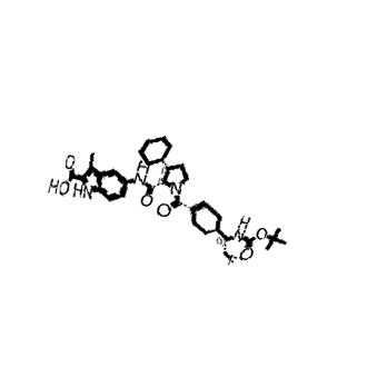 Cc1c(C(=O)O)[nH]c2ccc(NC(=O)[C@@H]3[C@H](C4CCCCC4)CCN3C(=O)[C@H]3CC[C@H]([C@@H](CF)NC(=O)OC(C)(C)C)CC3)cc12